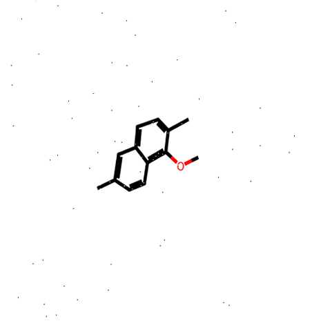 COc1c(C)ccc2cc(C)ccc12